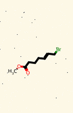 COC(=O)CCCC=CCBr